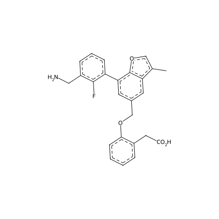 Cc1coc2c(-c3cccc(CN)c3F)cc(COc3ccccc3CC(=O)O)cc12